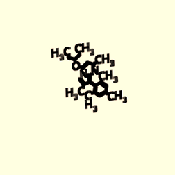 CCC(CC)Oc1cc(C)nc2c(-c3c(C)cc(C)cc3C)c(C)cn12